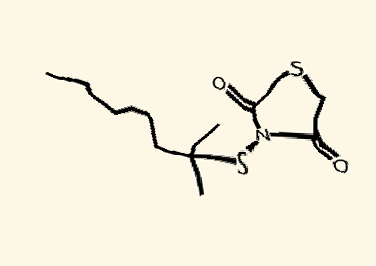 CCCCCC(C)(C)SN1C(=O)CSC1=O